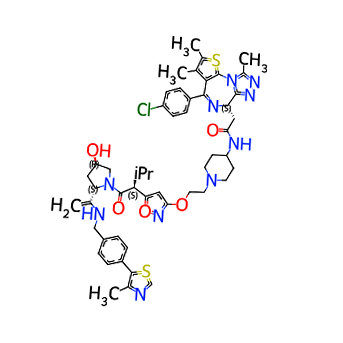 C=C(NCc1ccc(-c2scnc2C)cc1)[C@@H]1C[C@@H](O)CN1C(=O)[C@H](c1cc(OCCN2CCC(NC(=O)C[C@@H]3N=C(c4ccc(Cl)cc4)c4c(sc(C)c4C)-n4c(C)nnc43)CC2)no1)C(C)C